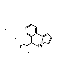 CCCC(CCC)c1ccccc1C1=CC=C[N]1